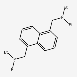 CCP(CC)Cc1cccc2c(CP(CC)CC)cccc12